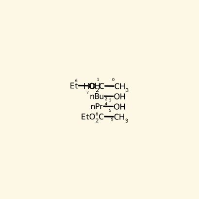 CC(=O)O.CCCCO.CCCO.CCO.CCOC(C)=O